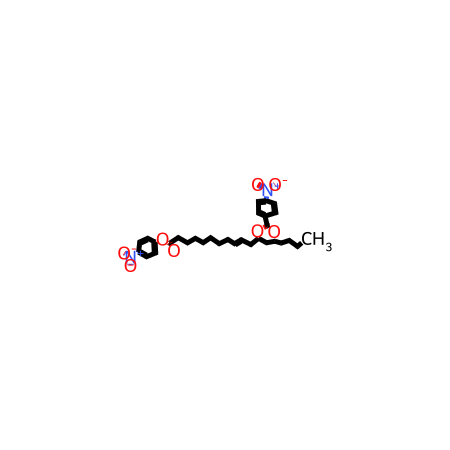 CCCCCCC(C/C=C/CCCCCCCC(=O)Oc1ccc([N+](=O)[O-])cc1)OC(=O)c1ccc([N+](=O)[O-])cc1